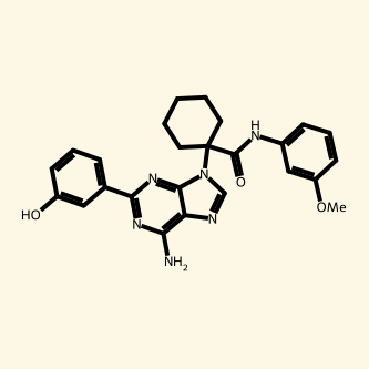 COc1cccc(NC(=O)C2(n3cnc4c(N)nc(-c5cccc(O)c5)nc43)CCCCC2)c1